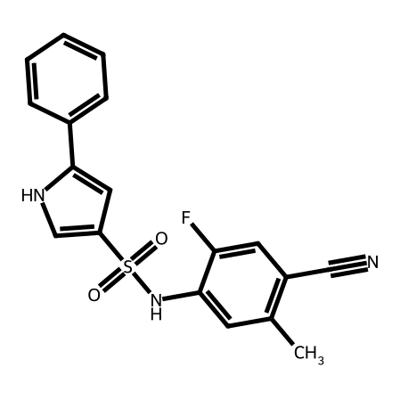 Cc1cc(NS(=O)(=O)c2c[nH]c(-c3ccccc3)c2)c(F)cc1C#N